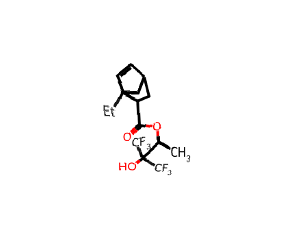 CCC12C=CC(CC1C(=O)OC(C)C(O)(C(F)(F)F)C(F)(F)F)C2